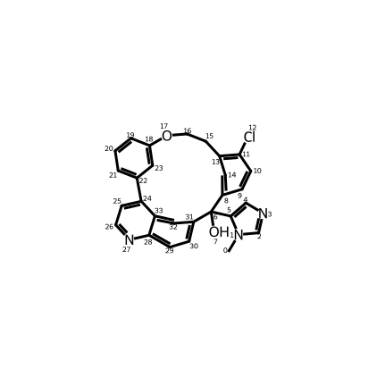 Cn1cncc1C1(O)c2ccc(Cl)c(c2)CCOc2cccc(c2)-c2ccnc3ccc1cc23